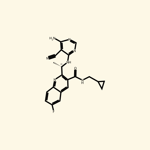 C[C@H](Nc1ncnc(N)c1C#N)c1nc2ccc(F)cc2cc1C(=O)NCC1CC1